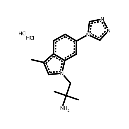 Cc1cn(CC(C)(C)N)c2cc(-n3cnnc3)ccc12.Cl.Cl